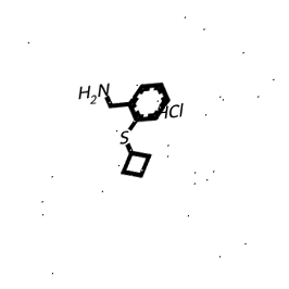 Cl.NCc1ccccc1SC1CCC1